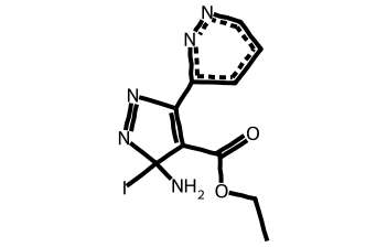 CCOC(=O)C1=C(c2cccnn2)N=NC1(N)I